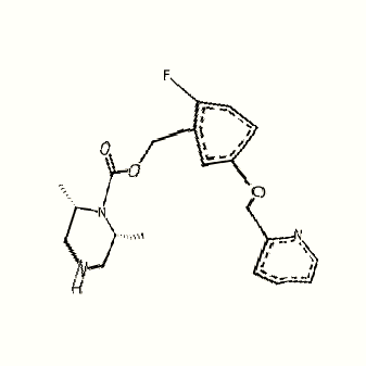 C[C@@H]1CNC[C@H](C)N1C(=O)OCc1cc(OCc2ccccn2)ccc1F